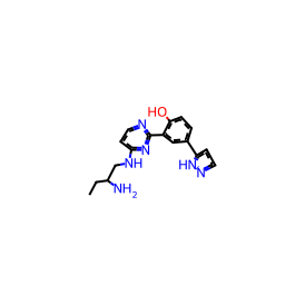 CCC(N)CNc1ccnc(-c2cc(-c3ccn[nH]3)ccc2O)n1